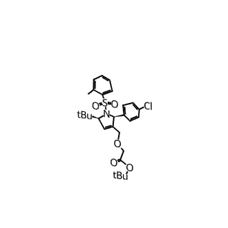 Cc1ccccc1S(=O)(=O)N1[C@@H](c2ccc(Cl)cc2)C(COCC(=O)OC(C)(C)C)=C[C@H]1C(C)(C)C